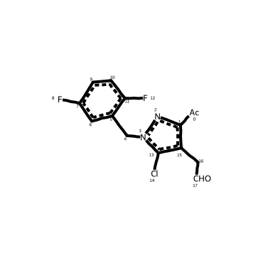 CC(=O)c1nn(Cc2cc(F)ccc2F)c(Cl)c1CC=O